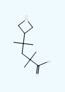 CC(C)C(=O)C(C)(C)CC(C)(C)C1CNC1